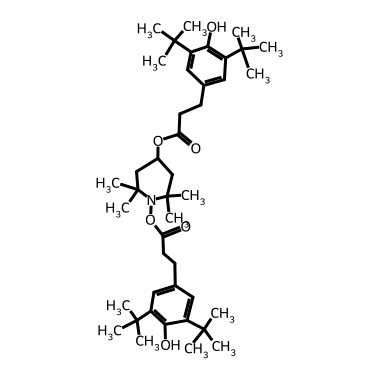 CC(C)(C)c1cc(CCC(=O)OC2CC(C)(C)N(OC(=O)CCc3cc(C(C)(C)C)c(O)c(C(C)(C)C)c3)C(C)(C)C2)cc(C(C)(C)C)c1O